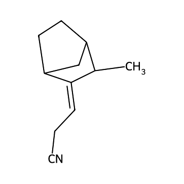 CC1/C(=C/CC#N)C2CCC1C2